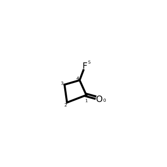 O=C1CCC1F